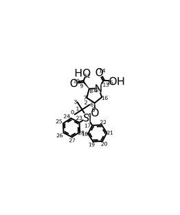 CC(C)(C)[Si](O[C@H]1C[C@@H](C(=O)O)N(C(=O)O)C1)(c1ccccc1)c1ccccc1